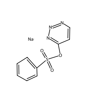 O=S(=O)(Oc1ccnnn1)c1ccccc1.[Na]